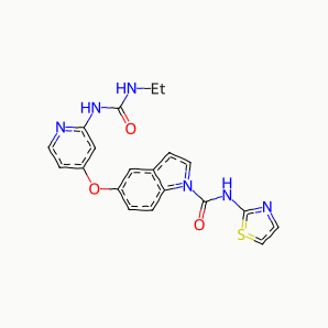 CCNC(=O)Nc1cc(Oc2ccc3c(ccn3C(=O)Nc3nccs3)c2)ccn1